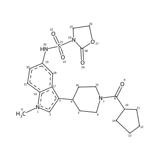 Cn1cc(C2CCN(C(=O)C3CCCC3)CC2)c2cc(NS(=O)(=O)N3CCOC3=O)ccc21